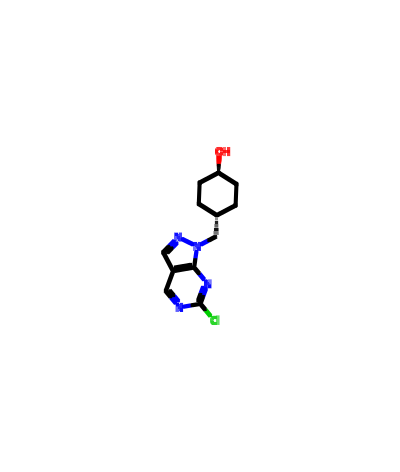 O[C@H]1CC[C@H](Cn2ncc3cnc(Cl)nc32)CC1